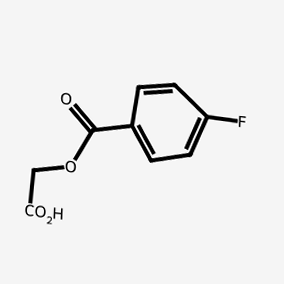 O=C(O)COC(=O)c1ccc(F)cc1